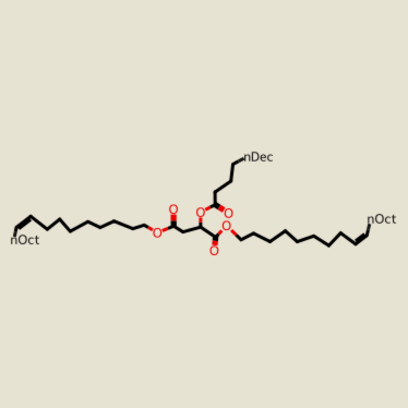 CCCCCCCC/C=C\CCCCCCCCOC(=O)CC(OC(=O)CCCCCCCCCCCCC)C(=O)OCCCCCCCC/C=C\CCCCCCCC